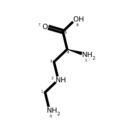 NCNC[C@H](N)C(=O)O